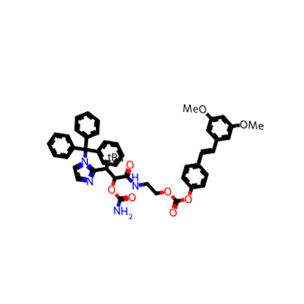 COc1cc(C=Cc2ccc(OC(=O)OCCNC(=O)C(OC(N)=O)C(c3nccn3C(c3ccccc3)(c3ccccc3)c3ccccc3)C(C)(C)C)cc2)cc(OC)c1